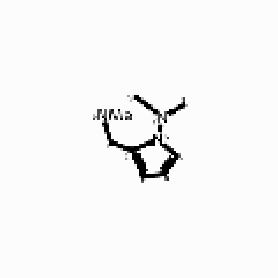 CNCc1cccn1N(C)C